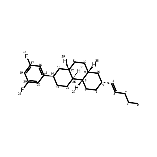 CCCC=C[C@@H]1CC[C@H]2[C@H](CC[C@H]3C[C@H](c4cc(F)cc(F)c4)CC[C@@H]32)C1